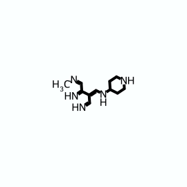 C/N=C\C(=N)/C(C=N)=C/NC1CCNCC1